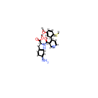 COC(=O)[C@H](Cc1ccc(N)cc1)NC(=O)c1cnccc1-c1cc(OC)ccc1SC